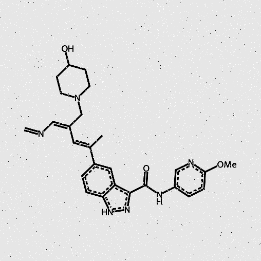 C=N/C=C(\C=C(/C)c1ccc2[nH]nc(C(=O)Nc3ccc(OC)nc3)c2c1)CN1CCC(O)CC1